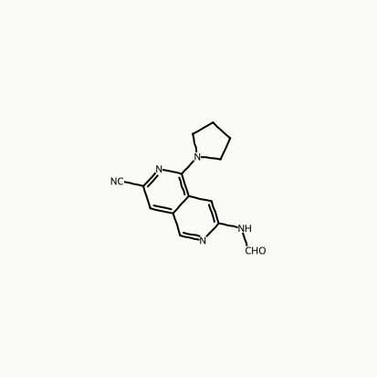 N#Cc1cc2cnc(NC=O)cc2c(N2CCCC2)n1